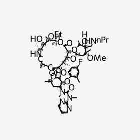 CCCNC[C@]1(O)[C@H](C)O[C@@H](O[C@H]2[C@H](C)[C@@H](O[C@@H]3O[C@H](C)C[C@H](N(C)C(=O)N(C)c4ncccn4)[C@H]3Oc3ccc(F)cc3C)[C@](C)(O)C[C@@H](C)CN[C@H](C)[C@@H](O)[C@](C)(O)[C@@H](CC)OC(=O)[C@@H]2C)C[C@@]1(C)OC